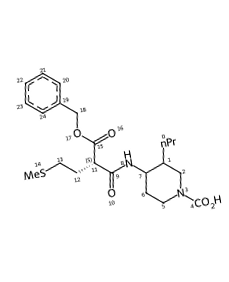 CCCC1CN(C(=O)O)CCC1NC(=O)[C@H](CCSC)C(=O)OCc1ccccc1